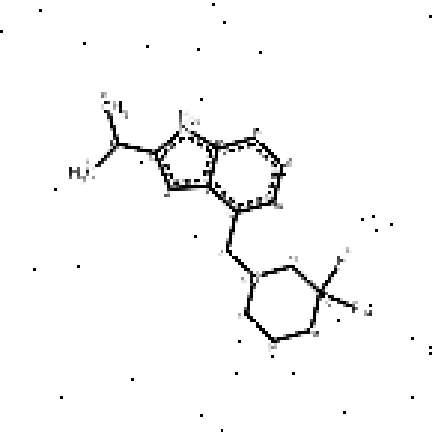 CC(C)c1cc2c(CN3CCCC(F)(F)C3)cccc2[nH]1